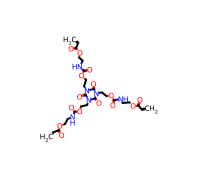 C=CC(=O)OCCNC(=O)OCCn1c(=O)n(CCOC(=O)NCCOC(=O)C=C)c(=O)n(CCOC(=O)NCCOC(=O)C=C)c1=O